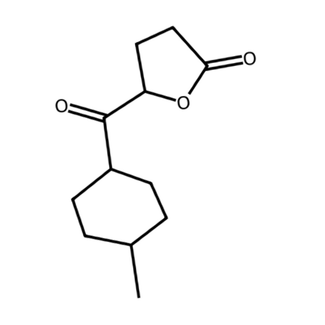 CC1CCC(C(=O)C2CCC(=O)O2)CC1